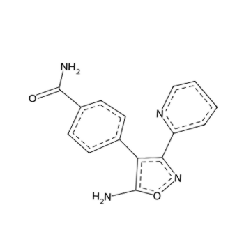 NC(=O)c1ccc(-c2c(-c3ccccn3)noc2N)cc1